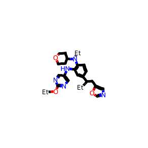 CCOc1ncc(Nc2cc(C(CC)Cc3cnco3)ccc2N(CC)C2CCOCC2)cn1